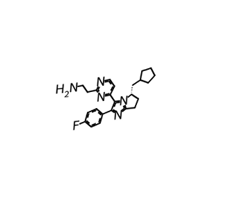 NCCc1nccc(-c2c(-c3ccc(F)cc3)nc3n2[C@H](CC2CCCC2)CC3)n1